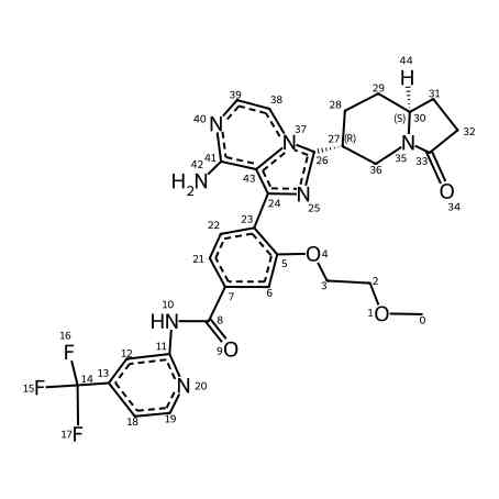 COCCOc1cc(C(=O)Nc2cc(C(F)(F)F)ccn2)ccc1-c1nc([C@@H]2CC[C@H]3CCC(=O)N3C2)n2ccnc(N)c12